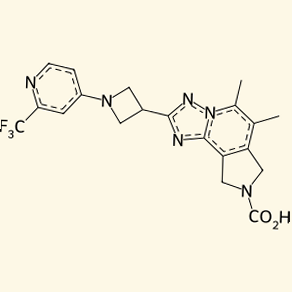 Cc1c2c(c3nc(C4CN(c5ccnc(C(F)(F)F)c5)C4)nn3c1C)CN(C(=O)O)C2